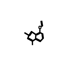 C=COc1cccc2c(C)cc(C)cc12